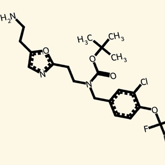 CC(C)(C)OC(=O)N(CCc1ncc(CCN)o1)Cc1ccc(OC(F)(F)F)c(Cl)c1